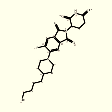 O=C1CCC(N2C(=O)c3cc(F)c(N4CCC(CCCCO)CC4)cc3C2=O)C(=O)N1